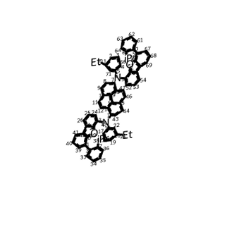 CCc1cccc(N(c2ccc3ccc4c(N(c5cccc(CC)c5)c5cccc6c5oc5c(-c7ccccc7C(C)C)cccc56)ccc5ccc2c3c54)c2cccc3c2oc2c(-c4ccccc4C(C)C)cccc23)c1